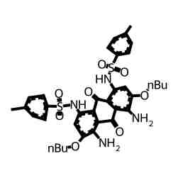 CCCCOc1cc(NS(=O)(=O)c2ccc(C)cc2)c2c(c1N)C(=O)c1c(N)c(OCCCC)cc(NS(=O)(=O)c3ccc(C)cc3)c1C2=O